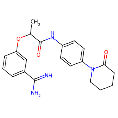 CC(Oc1cccc(C(=N)N)c1)C(=O)Nc1ccc(N2CCCCC2=O)cc1